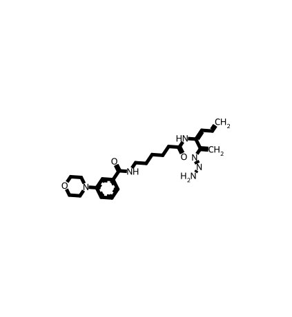 C=C/C=C(/NC(=O)CCCCCNC(=O)c1cccc(N2CCOCC2)c1)C(=C)N=NN